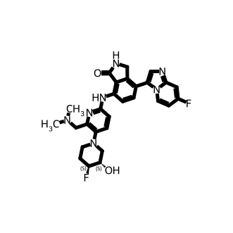 CN(C)Cc1nc(Nc2ccc(-c3cnc4cc(F)ccn34)c3c2C(=O)NC3)ccc1N1CC[C@H](F)[C@@H](O)C1